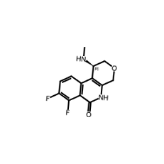 CN[C@H]1COCc2[nH]c(=O)c3c(F)c(F)ccc3c21